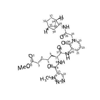 COC(=O)/C=C/CC[C@H](NC(=O)c1cnnn1C)C(=O)Nc1cccn(CC(=O)N[C@@H]2C[C@@H]3CC[C@H]2C3)c1=O